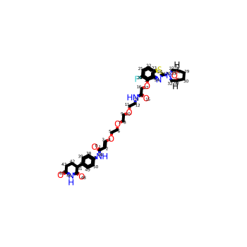 O=C(C=COCCOCCOCCNC(=O)COc1c(F)ccc2sc(N3C[C@H]4CC[C@@H](C3)O4)nc12)Nc1ccc(C2CCC(=O)NC2=O)cc1